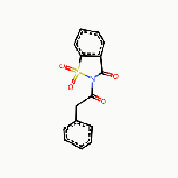 O=C(Cc1ccccc1)N1C(=O)c2ccccc2S1(=O)=O